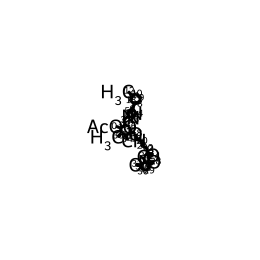 CC(=O)OC1C(Cn2cc(-c3cccc(C)c3)nn2)OC(OCCCCC(=O)ON2C(=O)CCC2=O)C(C)C1C